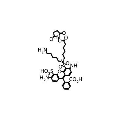 N=c1ccc2c(-c3ccccc3C(=O)O)c3ccc(N)c(S(=O)(=O)O)c3oc-2c1S(=O)(=O)N(CCCCCN)CCCCCC(=O)ON1C(=O)CCC1=O